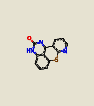 O=c1nc2c3c(cccc3[nH]1)Sc1ncccc1-2